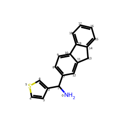 NC(c1ccsc1)c1ccc2c(c1)Cc1ccccc1-2